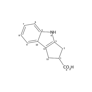 O=C(O)C1Cc2[nH]c3ccccc3c2C1